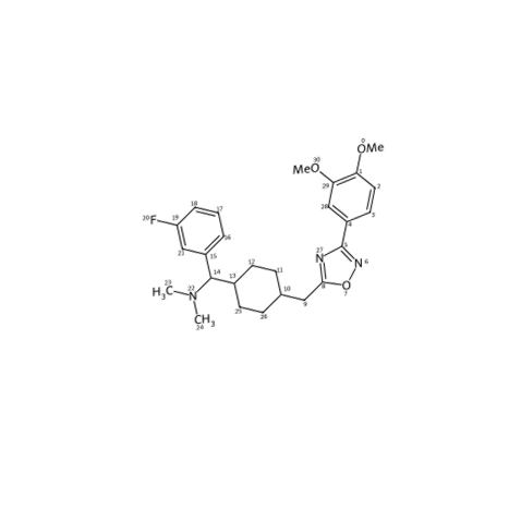 COc1ccc(-c2noc(CC3CCC(C(c4cccc(F)c4)N(C)C)CC3)n2)cc1OC